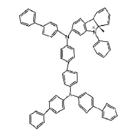 C[C@]12C=CC=CC1c1ccc(N(c3ccc(-c4ccccc4)cc3)c3ccc(-c4ccc(N(c5ccc(-c6ccccc6)cc5)c5ccc(-c6ccccc6)cc5)cc4)cc3)cc1N2c1ccccc1